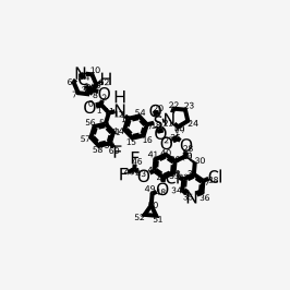 O=C(O[C@H]1CN2CCC1CC2)C(Nc1cccc(S(=O)(=O)N2CCC[C@@H]2C(=O)O[C@@H](Cc2c(Cl)cncc2Cl)c2ccc(OC(F)F)c(OCC3CC3)c2)c1)c1cccc(F)c1